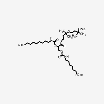 CCCCCCCCCCCCCCCCCCNC(=O)OC(COC(=O)NCCCCCCCCCCCCCCCC)C(=O)OCCC(C)(C)OCCC(C)(C)OC